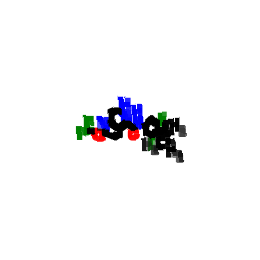 C[Si](C)(C)c1c(F)cc(NC(=O)C2NCCc3nc(OC(F)F)ccc32)cc1F